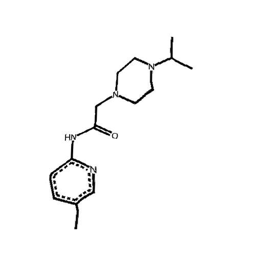 Cc1ccc(NC(=O)CN2CCN(C(C)C)CC2)nc1